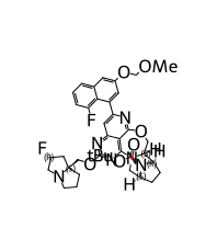 COCOc1cc(-c2cc3nc(OC[C@@]45CCCN4C[C@H](F)C5)nc4c3c(n2)OC[C@@H]2[C@H]3CC[C@@H](CN42)N3C(=O)OC(C)(C)C)c2c(F)cccc2c1